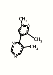 Cc1cncnc1-c1cn(C)nc1C